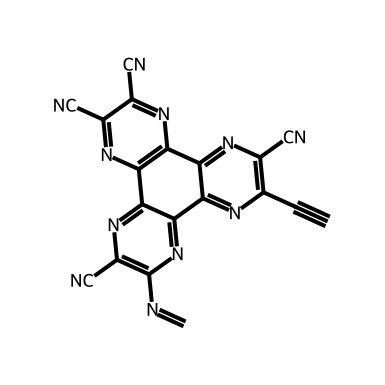 C#Cc1nc2c(nc1C#N)c1nc(C#N)c(C#N)nc1c1nc(C#N)c(N=C)nc21